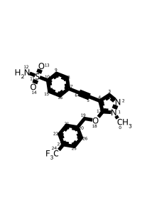 Cn1ncc(C#Cc2ccc(S(N)(=O)=O)cc2)c1OCc1ccc(C(F)(F)F)cc1